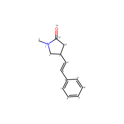 CN1CC(C=Cc2ccccc2)CC1=O